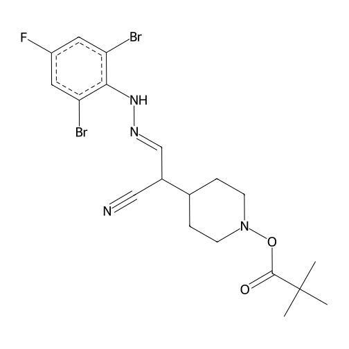 CC(C)(C)C(=O)ON1CCC(C(C#N)C=NNc2c(Br)cc(F)cc2Br)CC1